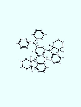 CC12CCCCC1(C)N1c3cc(N(c4ccccc4)c4ccccc4)cc4c3B(c3cccc2c31)c1cccc2c1N4C1(C)CCCCC21C